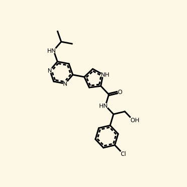 CC(C)Nc1cc(-c2c[nH]c(C(=O)NC(CO)c3cccc(Cl)c3)c2)ncn1